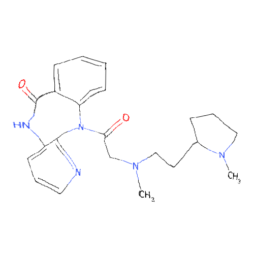 CN(CCC1CCCN1C)CC(=O)N1c2ccccc2C(=O)Nc2cccnc21